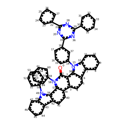 O=c1c2c(ccc3c4ccccc4n(-c4cccc(-c5nc(-c6ccccc6)nc(-c6ccccc6)n5)c4)c32)c2ccc3c4ccccc4n(-c4ccccc4)c3c2n1-c1ccccc1